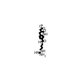 COC(=O)CC1Cc2ccc(C(=O)NCCCCNC(=N)N)cc2NC1=O